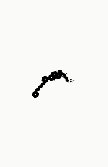 CC(C)CCC[C@@H](C)[C@H]1CC[C@H]2[C@@H]3CC=C4C[C](c5cccc(C=CC=CC=Cc6ccccc6)c5)CC[C@]4(C)[C@H]3CC[C@]12C